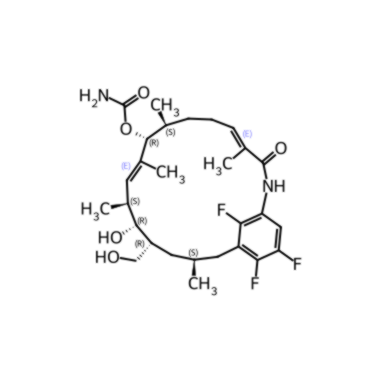 C/C1=C\CC[C@H](C)[C@@H](OC(N)=O)/C(C)=C/[C@H](C)[C@@H](O)[C@@H](CO)C[C@H](C)Cc2c(F)c(F)cc(c2F)NC1=O